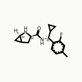 Cc1ccc([C@H](NC(=O)[C@H]2CC3C[C@H]3N2)C2CC2)c(F)c1